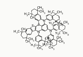 CC1(C)CCC(C)(C)c2cc(N(c3cc4c5c(c3)N(c3ccc6c(c3)C(C)(C)CCC6(C)C)c3c(sc6cc7c(cc36)C(C)(C)CCC7(C)C)B5c3cc5c(cc3N4c3ccc4c(c3)C(C)(C)CCC4(C)C)C(C)(C)CCC5(C)C)c3ccc4c(c3)C(C)(C)CCC4(C)C)ccc21